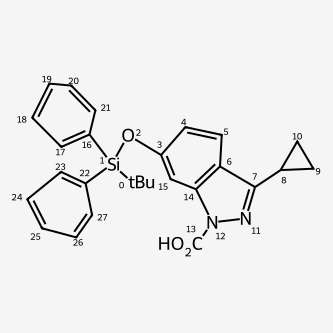 CC(C)(C)[Si](Oc1ccc2c(C3CC3)nn(C(=O)O)c2c1)(c1ccccc1)c1ccccc1